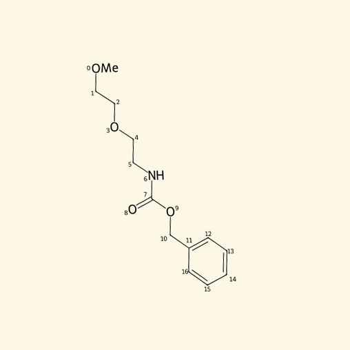 COCCOCCNC(=O)OCc1ccccc1